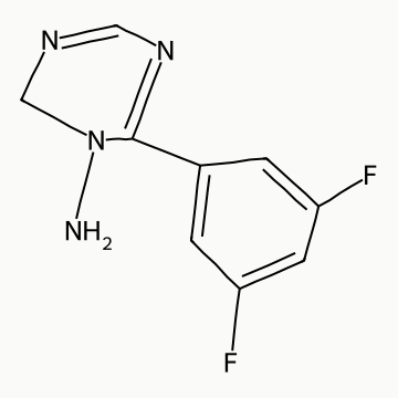 NN1CN=CN=C1c1cc(F)cc(F)c1